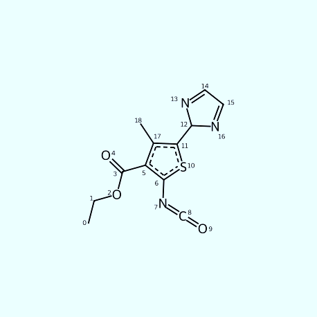 CCOC(=O)c1c(N=C=O)sc(C2N=CC=N2)c1C